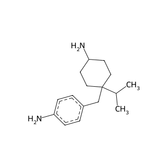 CC(C)C1(Cc2ccc(N)cc2)CCC(N)CC1